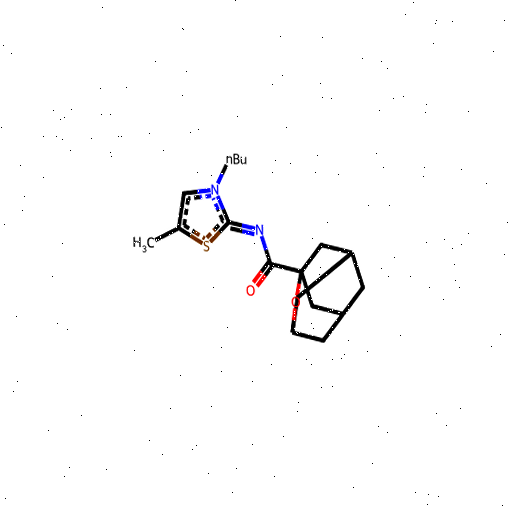 CCCCn1cc(C)sc1=NC(=O)C12CC3CC(CC(C3)O1)C2